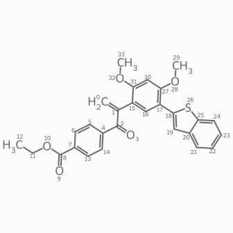 C=C(C(=O)c1ccc(C(=O)OCC)cc1)c1cc(-c2cc3ccccc3s2)c(OC)cc1OC